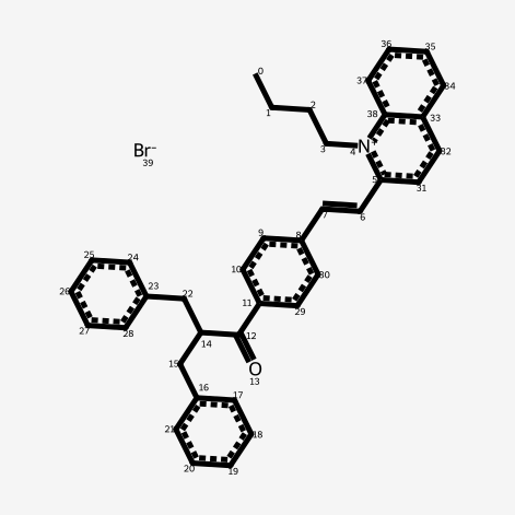 CCCC[n+]1c(C=Cc2ccc(C(=O)C(Cc3ccccc3)Cc3ccccc3)cc2)ccc2ccccc21.[Br-]